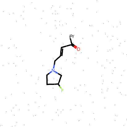 CC(C)C(=O)/C=C/CN1CCC(F)C1